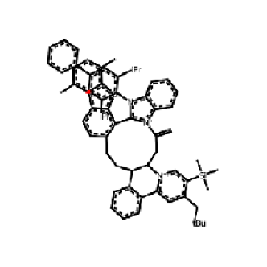 C=C1CC2C(CCc3ccc4c(oc5c(C)ccc(C)c54)c3-c3n(-c4c(C(C)C)cc(-c5ccccc5)cc4C(C)C)c4ccccc4[n+]31)c1ccccc1-c1cc(CC(C)(C)C)c([Si](C)(C)C)c[n+]12